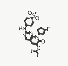 CS(=O)(=O)N1CCC(Nc2ncc3cc(OC(F)F)c(=O)n(C4CCC(F)C4)c3n2)CC1